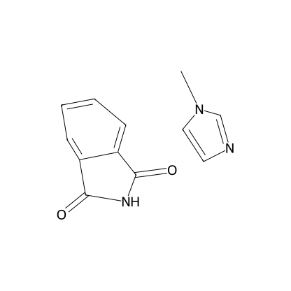 Cn1ccnc1.O=C1NC(=O)c2ccccc21